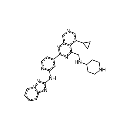 c1ccn2nc(Nc3cc(-c4nc(CNC5CCNCC5)c5c(C6CC6)cncc5n4)ccn3)nc2c1